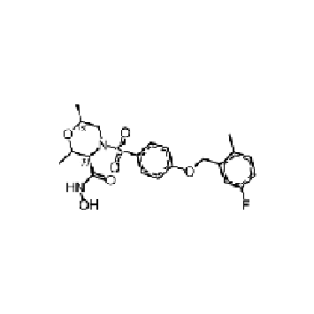 Cc1ccc(F)cc1COc1ccc(S(=O)(=O)N2C[C@H](C)OC(C)[C@@H]2C(=O)NO)cc1